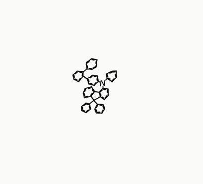 c1ccc(-c2ccccc2-c2ccc(N(c3ccccc3)c3cccc4c3-c3ccccc3C4(c3ccccc3)c3ccccc3)cc2)cc1